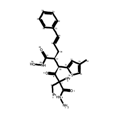 CCCC(CC(C)C)(C(=O)NN)C(=O)[C@H](c1cc(C)cs1)[C@H](C/C=C/c1ccccc1)C(=O)NO